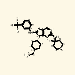 CC1(Nc2ncc3nc(Nc4cccc(C(F)(F)F)c4)n([C@H]4CC[C@H](CN)CC4)c3n2)CCOCC1